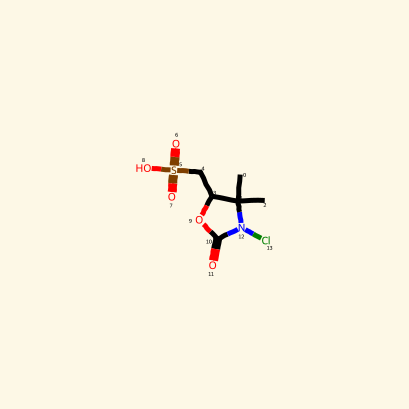 CC1(C)C(CS(=O)(=O)O)OC(=O)N1Cl